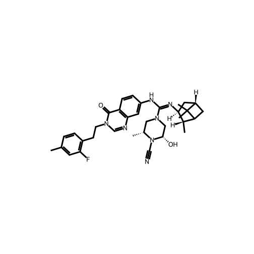 Cc1ccc(CCn2cnc3cc(N/C(=N/[C@H]4C[C@@H]5CC([C@@H]4C)C5(C)C)N4C[C@@H](C)N(C#N)[C@@H](O)C4)ccc3c2=O)c(F)c1